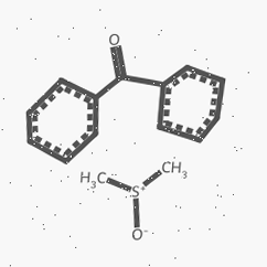 C[S+](C)[O-].O=C(c1ccccc1)c1ccccc1